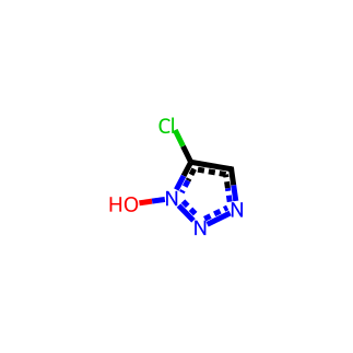 On1nncc1Cl